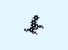 Cc1cc(C)cc(-c2cc(CC(C)C)c3cc(-c4ccccc4)ccc3n2)c1